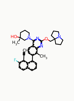 C#Cc1c(F)ccc2cccc(-c3ccc4c(N5CCC[C@@](C)(O)C5)nc(OCC56CCCN5CCC6)nc4c3C)c12